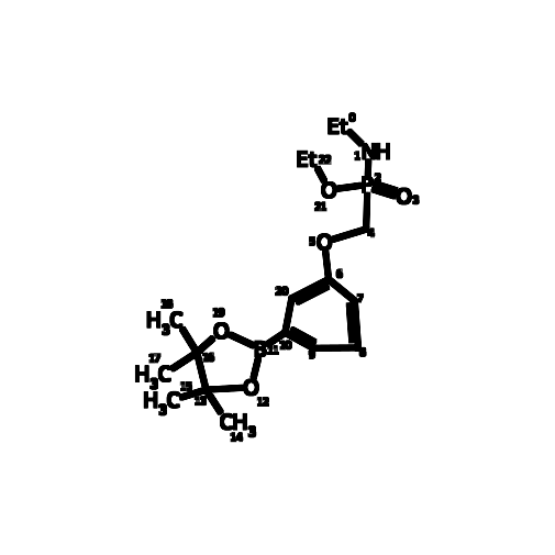 CCNP(=O)(COc1cccc(B2OC(C)(C)C(C)(C)O2)c1)OCC